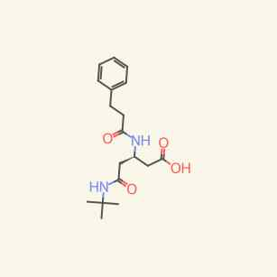 CC(C)(C)NC(=O)C[C@H](CC(=O)O)NC(=O)CCc1ccccc1